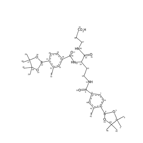 CC1(C)OB(c2ccc(C(=O)NCCC(NC(=O)c3ccc(B4OC(C)(C)C(C)(C)O4)c(F)c3)C(=O)NCCC(=O)O)cc2F)OC1(C)C